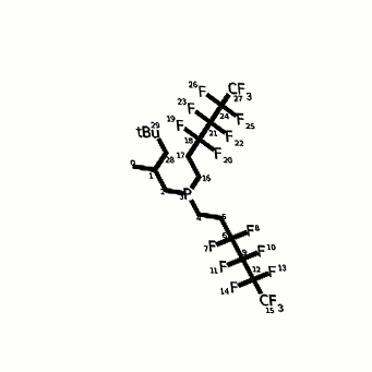 CC(CP(CCC(F)(F)C(F)(F)C(F)(F)C(F)(F)F)CCC(F)(F)C(F)(F)C(F)(F)C(F)(F)F)CC(C)(C)C